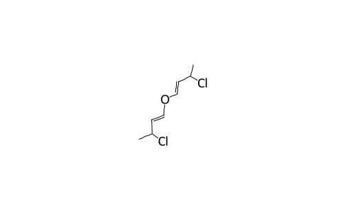 CC(Cl)/C=C/O/C=C/C(C)Cl